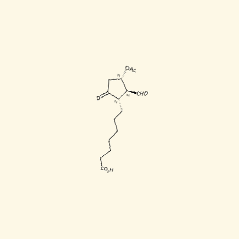 CC(=O)O[C@H]1CC(=O)[C@@H](CCCCCCC(=O)O)[C@@H]1C=O